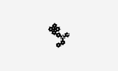 c1ccc(-c2cccc(-c3nc(-c4ccncc4)nc(-c4ccc(-c5cccc6c5-c5ccccc5C65c6ccccc6-c6ccccc65)cc4)n3)c2)cc1